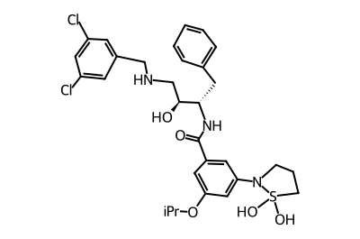 CC(C)Oc1cc(C(=O)N[C@@H](Cc2ccccc2)[C@@H](O)CNCc2cc(Cl)cc(Cl)c2)cc(N2CCCS2(O)O)c1